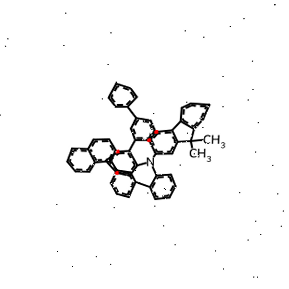 CC1(C)c2ccccc2-c2ccc(N(c3ccccc3-c3cccc(-c4ccccc4)c3)c3ccccc3-c3cccc(-c4cccc5ccccc45)c3)cc21